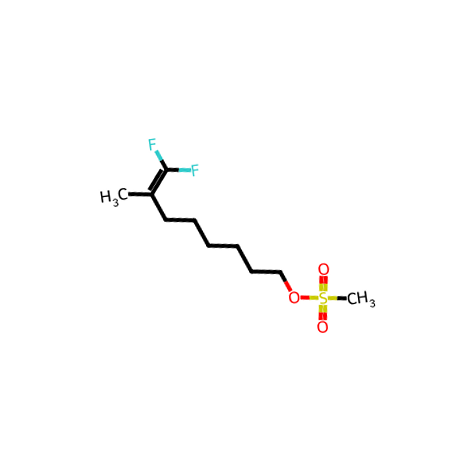 CC(CCCCCCOS(C)(=O)=O)=C(F)F